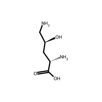 NC[C@@H](O)C[C@H](N)C(=O)O